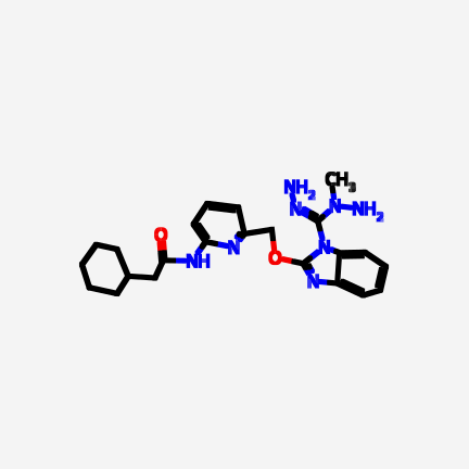 CN(N)/C(=N\N)n1c(OCc2cccc(NC(=O)CC3CCCCC3)n2)nc2ccccc21